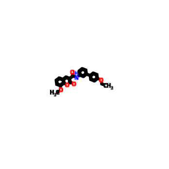 CCOc1ccc(-c2cccc(NC(=O)c3cc4cccc(OC)c4oc3=O)c2)cc1